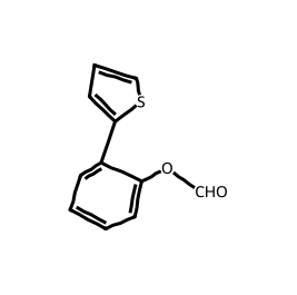 O=COc1ccccc1-c1cccs1